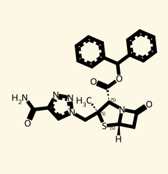 C[C@@]1(Cn2cc(C(N)=O)nn2)S[C@H]2CC(=O)N2[C@H]1C(=O)OC(c1ccccc1)c1ccccc1